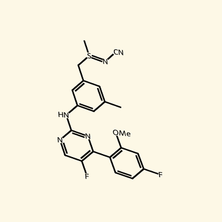 COc1cc(F)ccc1-c1nc(Nc2cc(C)cc(CS(C)=NC#N)c2)ncc1F